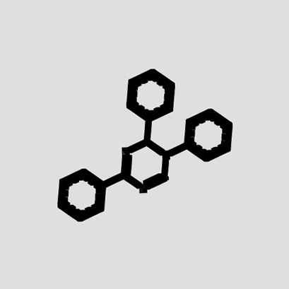 [C]1=NC(c2ccccc2)=NC(c2ccccc2)N1c1ccccc1